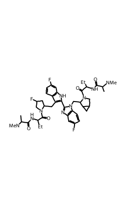 CCC(NC(=O)C(C)NC)C(=O)N1CC(F)CC1Cc1c(-c2nc3cc(F)ccc3n2CC2C3CC3CN2C(=O)C(CC)NC(=O)C(C)NC)[nH]c2cc(F)ccc12